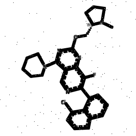 CN1CCC[C@H]1COc1nc(N2CCCCC2)c2cnc(-c3cccc4cccc(Cl)c34)c(F)c2n1